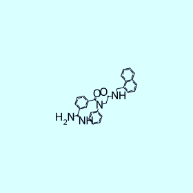 N=C(N)c1cccc(C(=O)N(CC(=O)NCc2cccc3ccccc23)c2ccccc2)c1